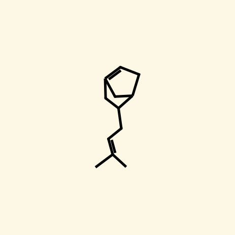 CC(C)=CCC1CC2=CCC1C2